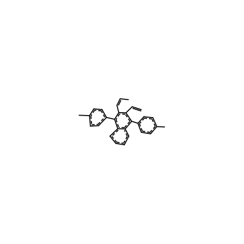 C=Cc1c(/C=C\C)c(-c2ccc(C)cc2)c2ccccc2c1-c1ccc(C)cc1